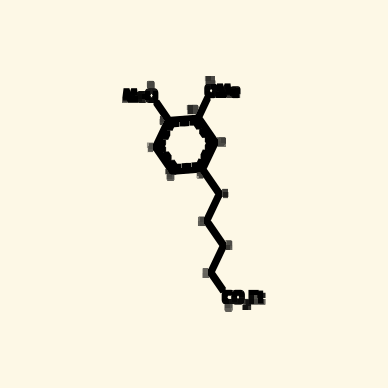 CCOC(=O)CCCCc1[c]cc(OC)c(OC)c1